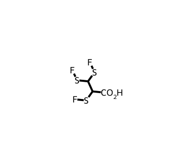 O=C(O)C(SF)C(SF)SF